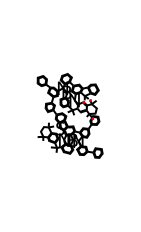 CC1(C)CCC(C)(C)C2=CC3C(C=C21)N1c2c(cccc2C3(C)C)B2c3c(cc4c(c31)C(C)(C)c1ccccc1-4)-c1ccccc1N2c1cc(-c2ccccc2)cc(-c2cccc(-c3ccc4c(c3)sc3c5c6c(cc34)-c3cc(-c4ccccc4)ccc3N(c3cccc(-c4ccccc4)c3)B6c3cccc4c3N5c3cc5c(cc3C4(C)C)C(C)(C)CCC5(C)C)c2)c1